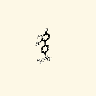 CCc1[nH]c(=O)ccc1-c1ccc([S+](C)[O-])cc1